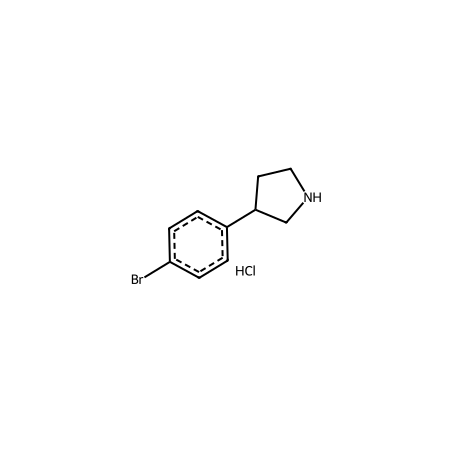 Brc1ccc(C2CCNC2)cc1.Cl